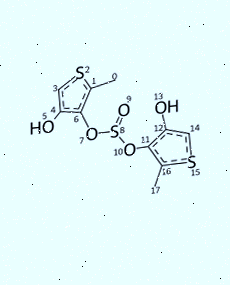 Cc1scc(O)c1OS(=O)Oc1c(O)csc1C